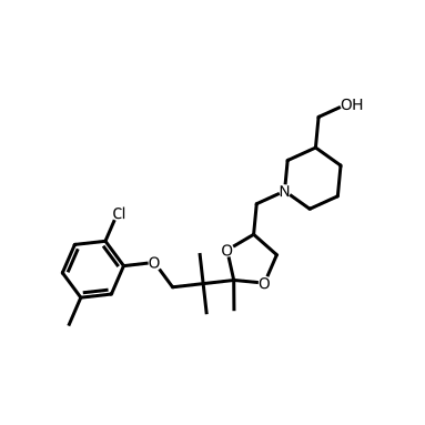 Cc1ccc(Cl)c(OCC(C)(C)C2(C)OCC(CN3CCCC(CO)C3)O2)c1